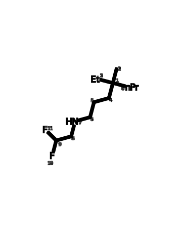 CCCC(C)(CC)CCCNCC(F)F